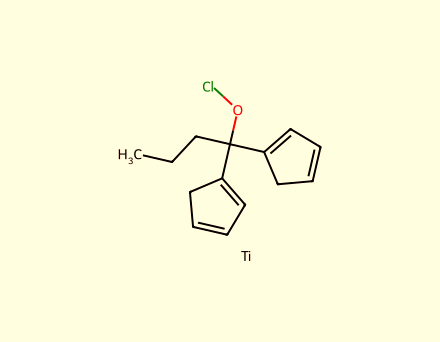 CCCC(OCl)(C1=CC=CC1)C1=CC=CC1.[Ti]